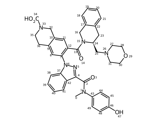 CN(C(=O)c1nn(-c2cc3c(cc2C(=O)N2Cc4ccccc4C[C@H]2CN2CCOCC2)CN(C(=O)O)CC3)c2ccccc12)c1ccc(O)cc1